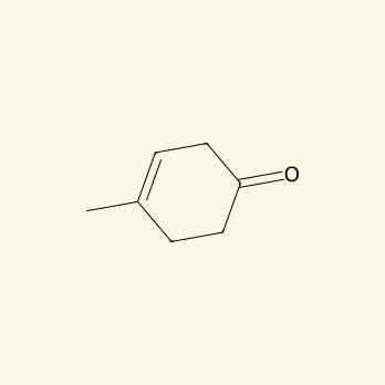 CC1=CCC(=O)CC1